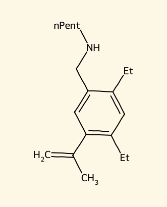 C=C(C)c1cc(CNCCCCC)c(CC)cc1CC